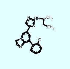 CC[C@@H](C)Nc1ncc(-c2cc(-c3ccccc3Cl)c3nccn3c2)s1